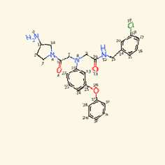 NC1CCN(C(=O)CN(CC(=O)NCc2cccc(Cl)c2)c2cccc(Oc3ccccc3)c2)C1